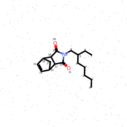 CCCCCC(CC)CN1C(=O)C2C3C=CC(C3)C2C1=O